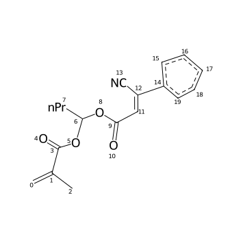 C=C(C)C(=O)OC(CCC)OC(=O)C=C(C#N)c1ccccc1